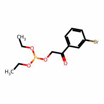 CCOP(OCC)OCC(=O)c1cccc(Br)c1